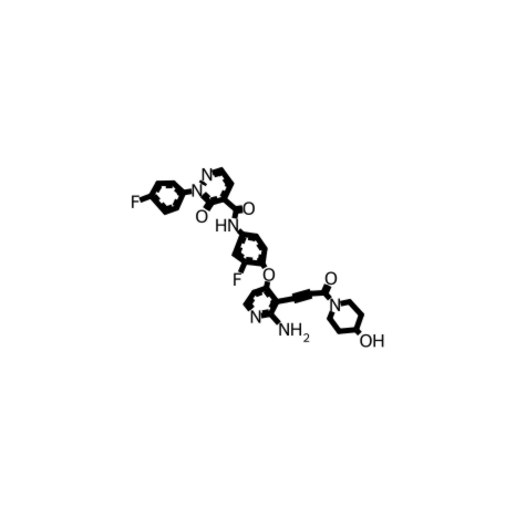 Nc1nccc(Oc2ccc(NC(=O)c3ccnn(-c4ccc(F)cc4)c3=O)cc2F)c1C#CC(=O)N1CCC(O)CC1